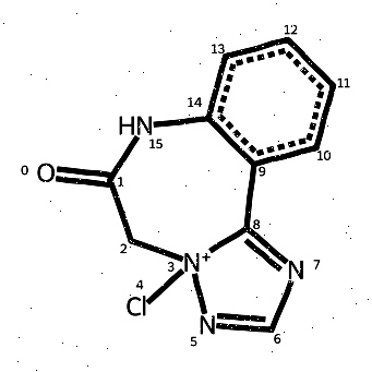 O=C1C[N+]2(Cl)N=CN=C2c2ccccc2N1